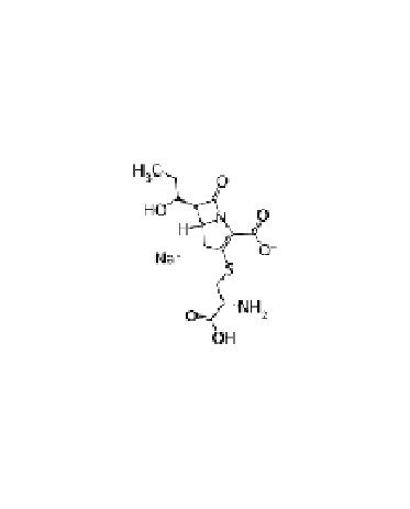 CCC(O)[C@H]1C(=O)N2C(C(=O)[O-])=C(SC[C@H](N)C(=O)O)C[C@H]12.[Na+]